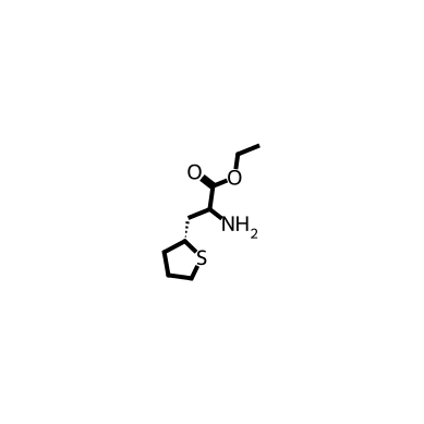 CCOC(=O)C(N)C[C@H]1CCCS1